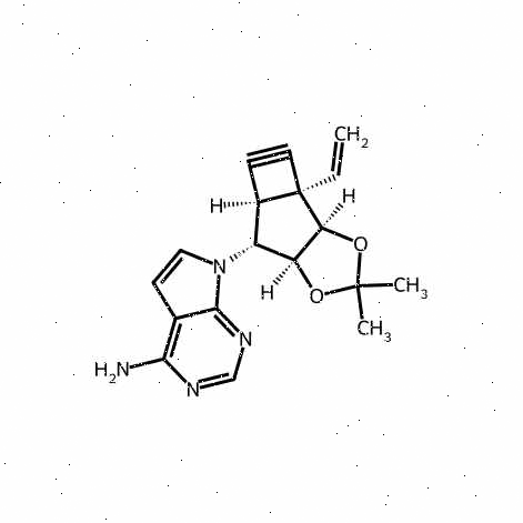 C=C[C@@]12C#C[C@@H]1[C@@H](n1ccc3c(N)ncnc31)[C@@H]1OC(C)(C)O[C@@H]12